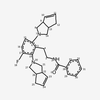 O=C(NCCc1c(N2CC3C=CCC3C2)ccc(F)c1N1CC2C=CCC2C1)c1ccccc1